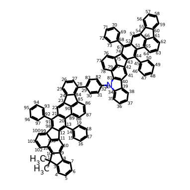 CC1(C)c2ccccc2-c2cc3c4c(-c5ccccc5)c5c(cc6c7cccc(-c8ccc(-n9c%10ccccc%10c%10cc%11c%12c(-c%13ccccc%13)c%13c(cc%14c%15ccccc%15c%15cccc%13c%15%14)c(-c%13ccccc%13)c%12c%12cccc(c%12%11)c%109)cc8)c7c7cccc5c67)c(-c5ccccc5)c4c4cccc(c21)c43